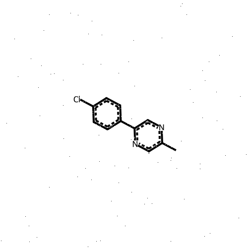 Cc1[c]nc(-c2ccc(Cl)cc2)cn1